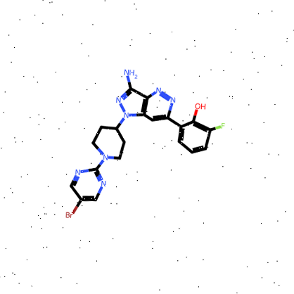 Nc1nn(C2CCN(c3ncc(Br)cn3)CC2)c2cc(-c3cccc(F)c3O)nnc12